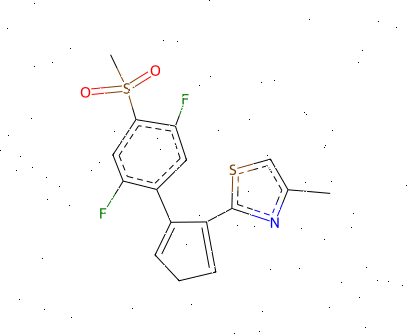 Cc1csc(C2=CCC=C2c2cc(F)c(S(C)(=O)=O)cc2F)n1